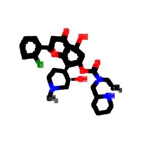 CCN(CC1CCCCN1)C(=O)Oc1cc(O)c2c(=O)cc(-c3ccccc3Cl)oc2c1[C@H]1CCN(C)C[C@H]1O